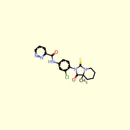 CC12CCCCN1C(=S)N(c1ccc(NC(=O)c3cccnn3)cc1Cl)C2=O